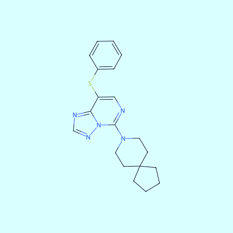 c1ccc(Sc2cnc(N3CCC4(CCCC4)CC3)n3ncnc23)cc1